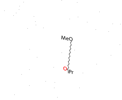 COCCCCCCCCCCCCCCCC(=O)C(C)C